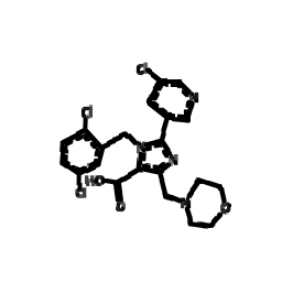 O=C(O)c1c(CN2CCOCC2)nc(-c2cncc(Cl)c2)n1Cc1cc(Cl)ccc1Cl